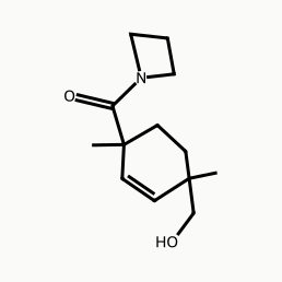 CC1(CO)C=CC(C)(C(=O)N2CCC2)CC1